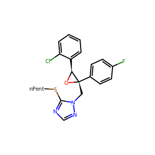 CCCCCSc1ncnn1C[C@@]1(c2ccc(F)cc2)O[C@H]1c1ccccc1Cl